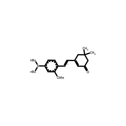 CCCCN(CCCC)c1ccc(/C=C/C2=CC(=O)CC(C)(C)C2)c(OC)c1